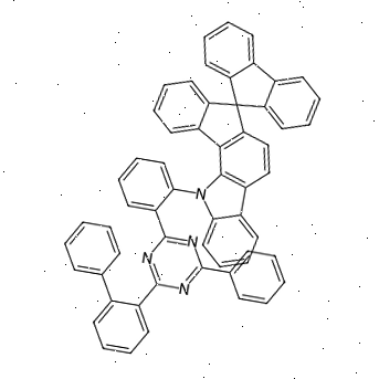 c1ccc(-c2nc(-c3ccccc3-c3ccccc3)nc(-c3ccccc3-n3c4ccccc4c4ccc5c(c43)-c3ccccc3C53c4ccccc4-c4ccccc43)n2)cc1